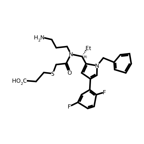 CC[C@H](c1cc(-c2cc(F)ccc2F)cn1Cc1ccccc1)N(CCCN)C(=O)CSCCC(=O)O